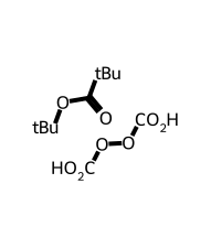 CC(C)(C)OC(=O)C(C)(C)C.O=C(O)OOC(=O)O